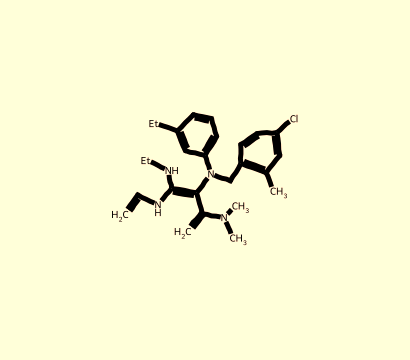 C=CN/C(NCC)=C(\C(=C)N(C)C)N(Cc1ccc(Cl)cc1C)c1cccc(CC)c1